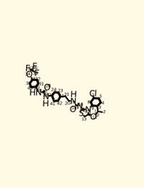 CC(C)c1ccc(Cl)cc1N1C(=O)CSC1=NC(=O)NCCc1ccc(NC(=O)Nc2ccc(OC(F)(F)F)cc2)cc1